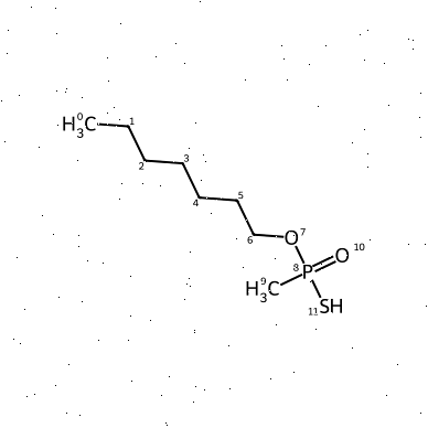 CCCCCCCOP(C)(=O)S